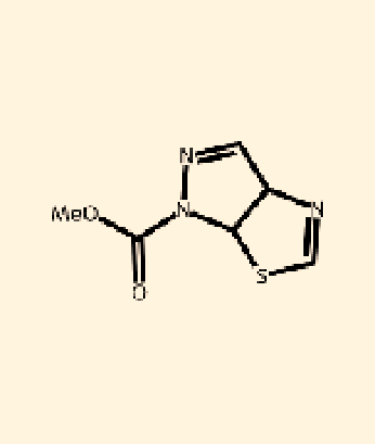 COC(=O)N1N=CC2N=CSC21